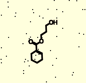 O=C(OCCCO)C1=CCCCC1